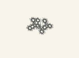 c1ccc(-c2nc(-n3c4ccccc4c4cc5c6ccccc6n(-c6ccccc6)c5cc43)nc3c4cc5ccccc5cc4n(-c4ccccc4)c23)cc1